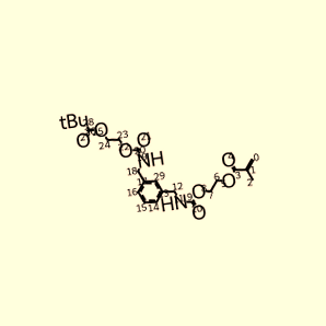 C=C(C)C(=O)OCCOC(=O)NCc1cccc(CNC(=O)OCCOC(=O)C(C)(C)C)c1